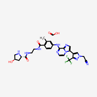 Cc1cc(Nc2nccn3c(-c4cn(CC#N)nc4C(F)(F)F)cnc23)ccc1C(=O)NCCNC(=O)[C@@H]1C[C@@H](O)CN1.O=CO